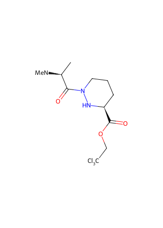 CN[C@@H](C)C(=O)N1CCC[C@@H](C(=O)OCC(Cl)(Cl)Cl)N1